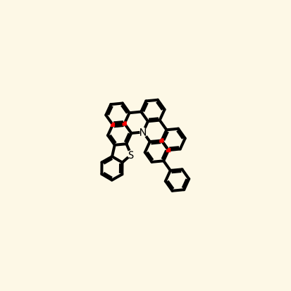 c1ccc(-c2ccc(N(c3c(-c4ccccc4)cccc3-c3ccccc3)c3cccc4c3sc3ccccc34)cc2)cc1